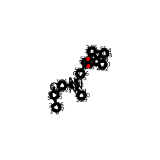 c1ccc(-c2ccc3oc4ccc(-c5nc(-c6ccccc6)nc(-c6ccc(-c7ccc(-c8cccc9c8C8(c%10ccccc%10-c%10ccccc%108)c8ccccc8-9)cc7)cc6)n5)cc4c3c2)cc1